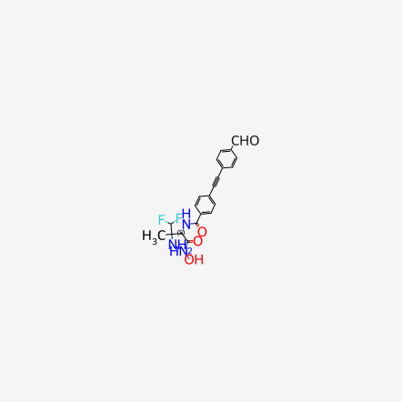 CC(N)(C(F)F)[C@H](NC(=O)c1ccc(C#Cc2ccc(C=O)cc2)cc1)C(=O)NO